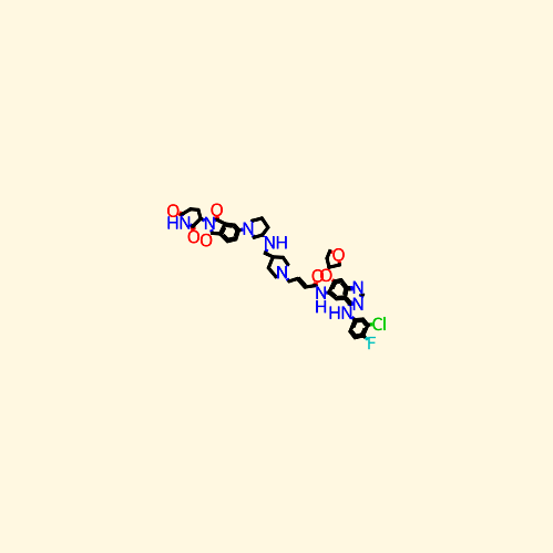 O=C(/C=C/CN1CCC(CN[C@H]2CCCN(c3ccc4c(c3)C(=O)N(C3CCC(=O)NC3=O)C4=O)C2)CC1)Nc1cc2c(Nc3ccc(F)c(Cl)c3)ncnc2cc1O[C@H]1CCOC1